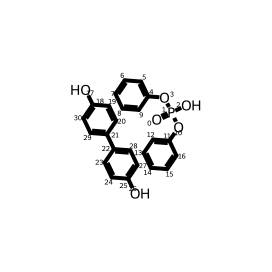 O=P(O)(Oc1ccccc1)Oc1ccccc1.Oc1ccc(-c2ccc(O)cc2)cc1